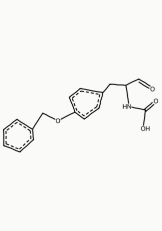 O=CC(Cc1ccc(OCc2ccccc2)cc1)NC(=O)O